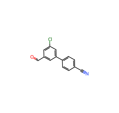 N#Cc1ccc(-c2cc(Cl)cc(C=O)c2)cc1